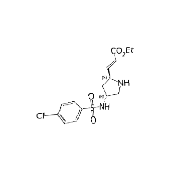 CCOC(=O)C=C[C@@H]1C[C@@H](NS(=O)(=O)c2ccc(Cl)cc2)CN1